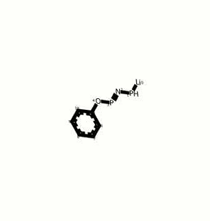 [Li][PH]N=POc1ccccc1